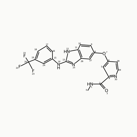 CNC(=O)c1cc(Oc2ccc3[nH]c(Nc4cccc(C(F)(F)F)c4)nc3c2)ccn1